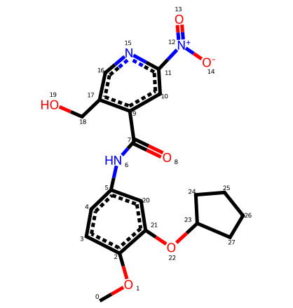 COc1ccc(NC(=O)c2cc([N+](=O)[O-])ncc2CO)cc1OC1CCCC1